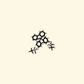 CC(C)(C)[Si](C)(C)Oc1ccc2c(c1)-c1cc(O[Si](C)(C)C(C)(C)C)ccc1C21c2ccccc2-c2ccccc21